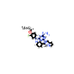 CCN1CCCC1CN(CC1CCCCC1)c1nc(N)nc(Nc2ccc(OCOC)c(F)c2)n1